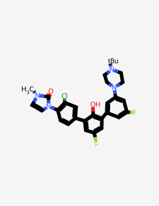 Cn1ccn(-c2ccc(-c3cc(F)cc(-c4cc(F)cc(N5CCN(C(C)(C)C)CC5)c4)c3O)cc2Cl)c1=O